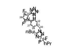 CCCCc1nc(C(F)(F)CCC)nn1Cc1ccc(-n2c(F)cc(F)c2-c2nnn[nH]2)cc1